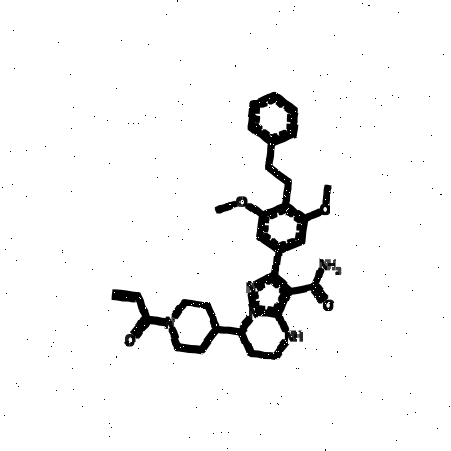 C=CC(=O)N1CCC(C2CCNc3c(C(N)=O)c(-c4cc(OC)c(CCc5ccccc5)c(OC)c4)nn32)CC1